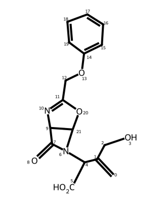 C=C(CO)C(C(=O)O)N1C(=O)C2N=C(COc3ccccc3)OC21